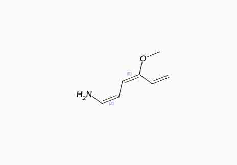 C=C/C(=C\C=C/N)OC